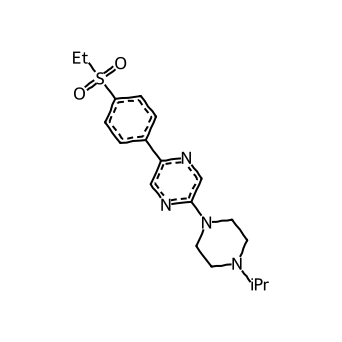 CCS(=O)(=O)c1ccc(-c2cnc(N3CCN(C(C)C)CC3)cn2)cc1